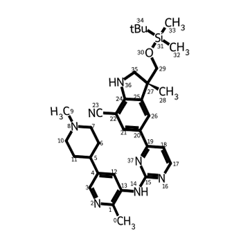 Cc1ncc(C2CCN(C)CC2)cc1Nc1nccc(-c2cc(C#N)c3c(c2)[C@@](C)(CO[Si](C)(C)C(C)(C)C)CN3)n1